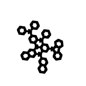 c1ccc(N(c2ccccc2)c2ccc3c(c2)N(c2ccccc2)c2cc(-n4c5ccccc5c5ccccc54)cc4c2B3c2cc3ccccc3cc2N4c2ccc3ccccc3c2)cc1